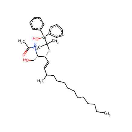 CCCCCCCCCCCC(C)/C=C/[C@@H](CC(C)(C)[Si](O)(c1ccccc1)c1ccccc1)[C@H](CO)NC(C)=O